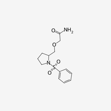 NC(=O)COCC1CCCN1S(=O)(=O)c1ccccc1